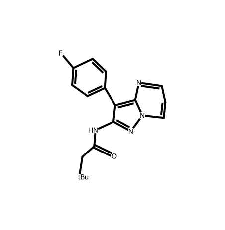 CC(C)(C)CC(=O)Nc1nn2cccnc2c1-c1ccc(F)cc1